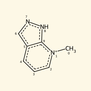 C[n+]1cccc2cn[nH]c21